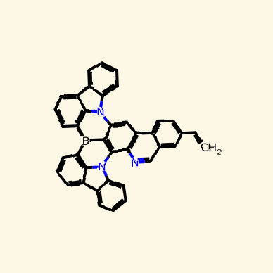 C=Cc1ccc2c(cnc3c4c5c(cc32)-n2c3ccccc3c3cccc(c32)B5c2cccc3c5ccccc5n-4c23)c1